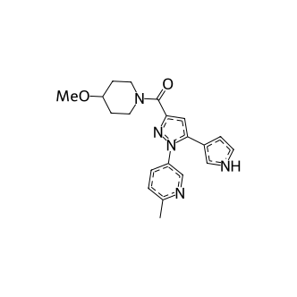 COC1CCN(C(=O)c2cc(-c3cc[nH]c3)n(-c3ccc(C)nc3)n2)CC1